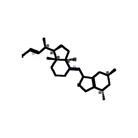 C[C@@H]1CC2=C(COC2/C=C2\CCC[C@]3(C)[C@@H]([C@H](C)/C=C/I)CC[C@@H]23)[C@@H](C)C1